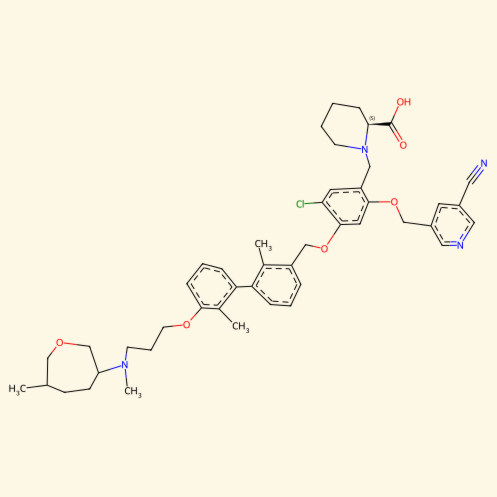 Cc1c(COc2cc(OCc3cncc(C#N)c3)c(CN3CCCC[C@H]3C(=O)O)cc2Cl)cccc1-c1cccc(OCCCN(C)C2CCC(C)COC2)c1C